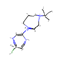 CC(C)(C)N1CCCN(c2cnc(F)cn2)CC1